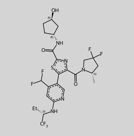 CC[C@H](Nc1cc(C(F)F)c(-c2sc(C(=O)N[C@@H]3CC[C@@H](O)C3)nc2C(=O)N2CC(F)(F)C[C@@H]2C)cn1)C(F)(F)F